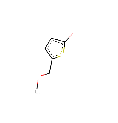 Bc1ccc(COCC)s1